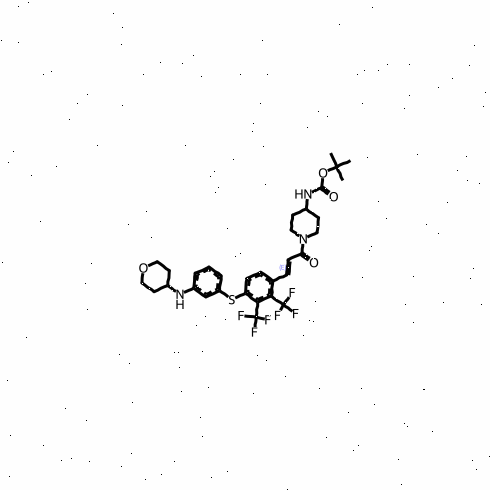 CC(C)(C)OC(=O)NC1CCN(C(=O)/C=C/c2ccc(Sc3cccc(NC4CCOCC4)c3)c(C(F)(F)F)c2C(F)(F)F)CC1